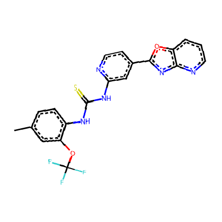 Cc1ccc(NC(=S)Nc2cc(-c3nc4ncccc4o3)ccn2)c(OC(F)(F)F)c1